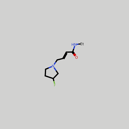 CCNC(=O)/C=C/CN1CCC(F)C1